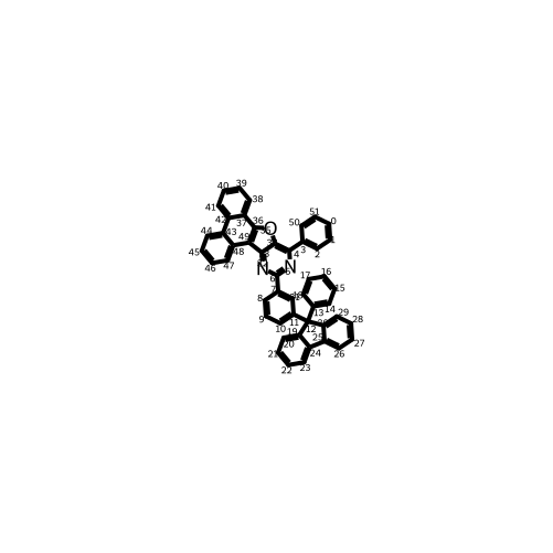 c1ccc(-c2nc(-c3cccc(C4(c5ccccc5)c5ccccc5-c5ccccc54)c3)nc3c2oc2c4ccccc4c4ccccc4c32)cc1